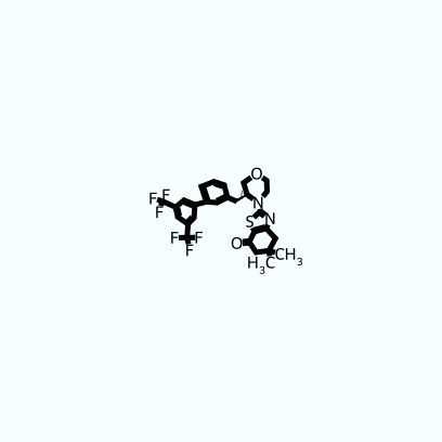 CC1(C)CC(=O)c2sc(N3CCOC[C@@H]3Cc3cccc(-c4cc(C(F)(F)F)cc(C(F)(F)F)c4)c3)nc2C1